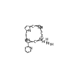 C1=Cc2cc3cc(-c4ccccn4)c(cc4nc(cc5ccc(cc1n2)[nH]5)C=C4)[nH]3.I.I.I.I